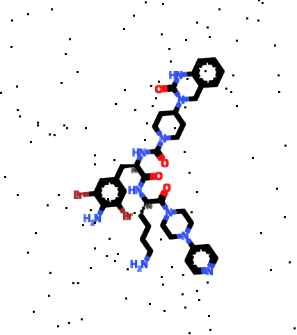 NCCCC[C@H](NC(=O)[C@@H](Cc1cc(Br)c(N)c(Br)c1)NC(=O)N1CCC(N2Cc3ccccc3NC2=O)CC1)C(=O)N1CCN(c2ccncc2)CC1